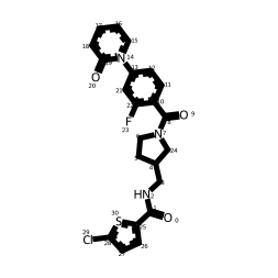 O=C(NCC1CCN(C(=O)c2ccc(-n3ccccc3=O)cc2F)C1)c1ccc(Cl)s1